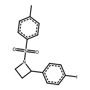 Cc1ccc(S(=O)(=O)N2CCC2c2ccc(I)cc2)cc1